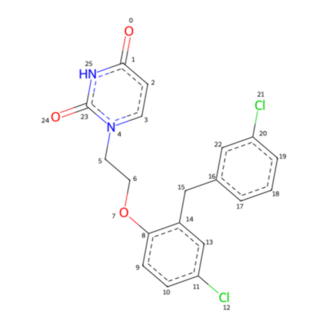 O=c1ccn(CCOc2ccc(Cl)cc2Cc2cccc(Cl)c2)c(=O)[nH]1